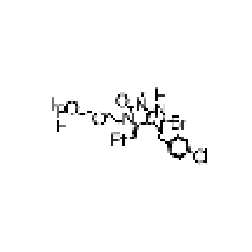 CC/C=C1/C2=C(NC(Br)N2Cc2ccc(Cl)cc2)N(C)C(=O)N1CCOCCOPI